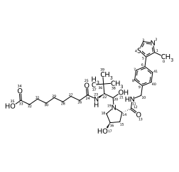 Cc1ncsc1-c1ccc(CNC(=O)[C@@H]2C[C@@H](O)CN2C(O)[C@@H](NC(=O)CCCCCCCC(=O)O)C(C)(C)C)cc1